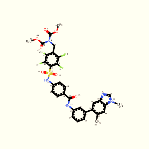 CCCCOC(=O)N(Cc1c(F)c(F)c(S(=O)(=O)Nc2ccc(C(=O)Nc3cccc(-c4cc5ncn(C)c5cc4C(F)(F)F)c3)cc2)c(F)c1F)C(=O)OC(C)(C)C